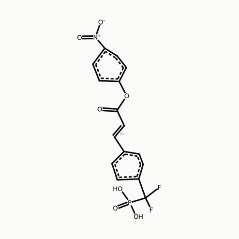 O=C(/C=C/c1ccc(C(F)(F)P(=O)(O)O)cc1)Oc1ccc([N+](=O)[O-])cc1